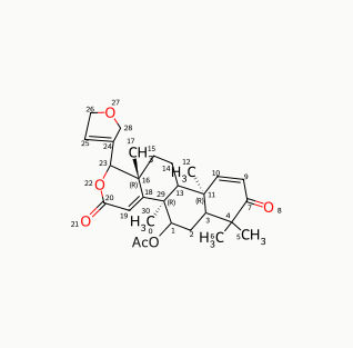 CC(=O)OC1CC2C(C)(C)C(=O)C=C[C@]2(C)C2CC[C@]3(C)C(=CC(=O)OC3C3=CCOC3)[C@]12C